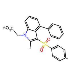 Cc1c(S(=O)(=O)c2ccc(Cl)cc2)c2c(-c3ccccc3)cccc2n1CC(=O)O